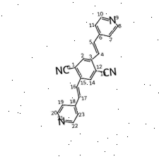 N#Cc1cc(/C=C/c2ccncc2)c(C#N)cc1/C=C/c1ccncc1